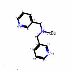 CC(C)(C)N(Cc1cccnc1)Cc1cccnc1